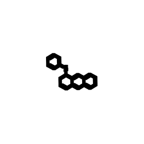 C1=Cc2cc3ccccc3cc2C(Sc2ccccc2)C1